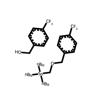 CCC[CH2][Sn]([CH2]CCC)([CH2]CCC)[CH2]OCc1ccc(C(F)(F)F)cc1.OCc1ccc(C(F)(F)F)cc1